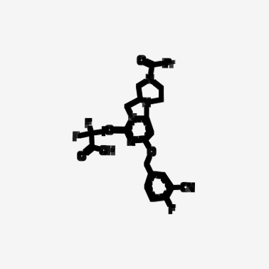 CC(C)C(=O)N1CCN2c3cc(OCc4ccc(F)c(C#N)c4)nc(=O)n3CC2C1.O=C(O)C(F)(F)F